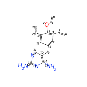 C=COc1c(C=C)cc(Cc2cnc(N)nc2N)cc1C=C